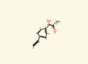 C#Cc1ccc(C(O)C(=O)C(C)(C)C)cc1